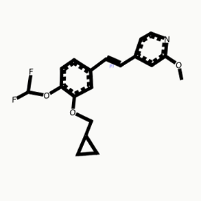 COc1cc(/C=C/c2ccc(OC(F)F)c(OCC3CC3)c2)ccn1